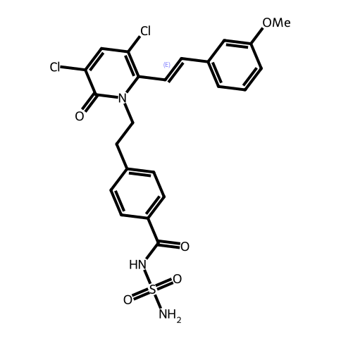 COc1cccc(/C=C/c2c(Cl)cc(Cl)c(=O)n2CCc2ccc(C(=O)NS(N)(=O)=O)cc2)c1